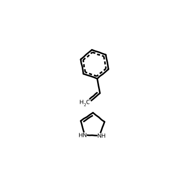 C1=CNNC1.C=Cc1ccccc1